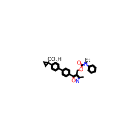 CCN(C(=O)OCc1c(C)noc1-c1ccc(-c2ccc(C3(C(=O)O)CC3)cc2)cc1)c1ccccc1